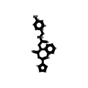 O=C(CN1C(=O)CC(c2cccs2)=Nc2ccccc21)NCc1ccc(Cl)cc1